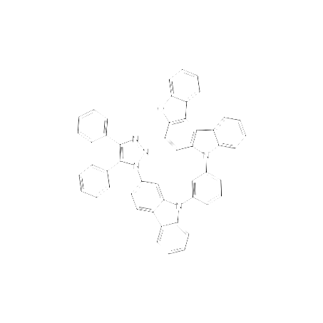 c1ccc(-c2nnn(-c3ccc4c5ccccc5n(-c5cccc(-n6c7ccccc7c7c8c(ccc76)oc6ccccc68)c5)c4c3)c2-c2ccccc2)cc1